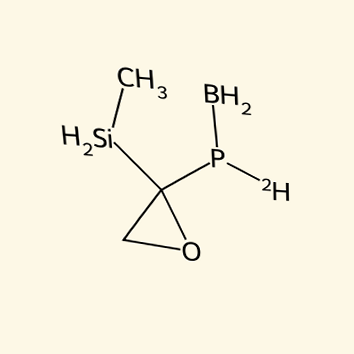 [2H]P(B)C1([SiH2]C)CO1